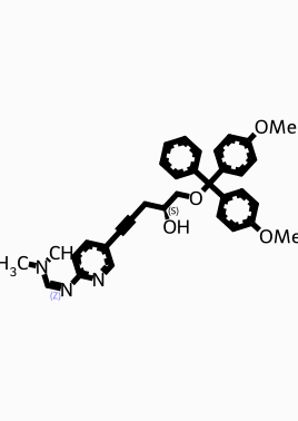 COc1ccc(C(OC[C@@H](O)CC#Cc2ccc(/N=C\N(C)C)nc2)(c2ccccc2)c2ccc(OC)cc2)cc1